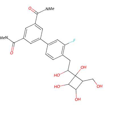 CNC(=O)c1cc(C(=O)NC)cc(-c2ccc(CC(O)C3(O)C(O)C(O)C3CO)c(F)c2)c1